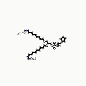 CCCCCCCC/C=C\CCCCCCCCOCC(COS(=O)(=O)NCCN1CCCC1)OCCCCCCCC/C=C\CCCCCCCC